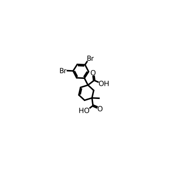 CC1(C(=O)O)CC=CC(C(=O)O)(c2cc(Br)cc(Br)c2)C1